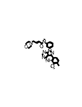 COc1cc(-c2nn(-c3cccc(N(C)C(=O)/C=C/CN4CCOCC4)c3)c3ncnc(N)c23)ccc1C